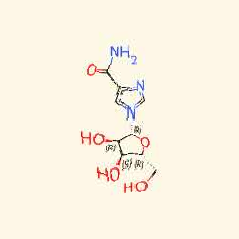 NC(=O)c1cn([C@@H]2O[C@H](CO)[C@@H](O)[C@H]2O)cn1